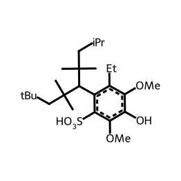 CCc1c(OC)c(O)c(OC)c(S(=O)(=O)O)c1C(C(C)(C)CC(C)C)C(C)(C)CC(C)(C)C